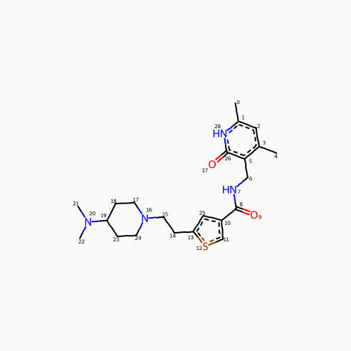 Cc1cc(C)c(CNC(=O)c2csc(CCN3CCC(N(C)C)CC3)c2)c(=O)[nH]1